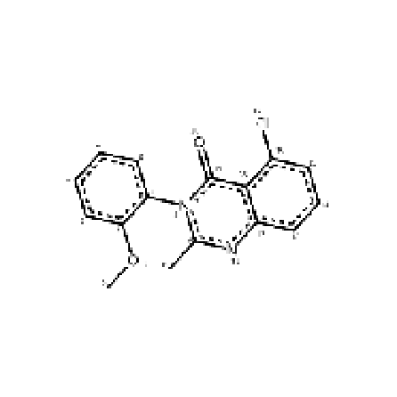 COc1ccccc1-n1c(C)nc2cccc(Cl)c2c1=O